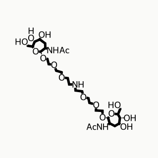 CC(=O)NC1CC(O)[C@@H](O)C(CO)O[C@H]1OCCOCCOCCNCCOCCOCCO[C@@H]1OC(CO)[C@H](O)C(O)CC1NC(C)=O